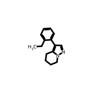 CCc1ccccc1-c1cnn2c1CCCC2